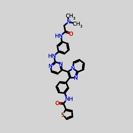 CN(C)CC(=O)Nc1cccc(Nc2nccc(-c3c(-c4cccc(NC(=O)c5cccs5)c4)nc4ccccn34)n2)c1